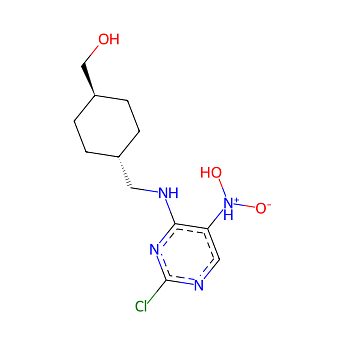 [O-][NH+](O)c1cnc(Cl)nc1NC[C@H]1CC[C@H](CO)CC1